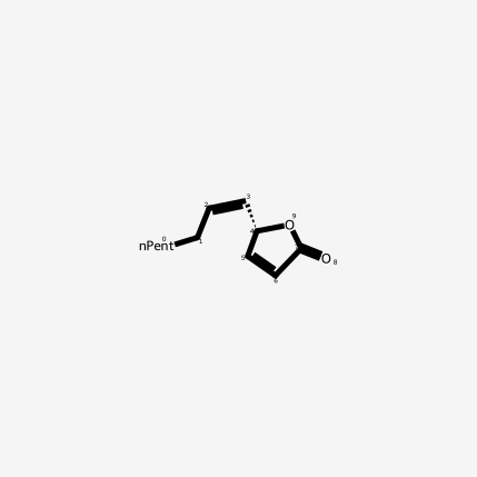 CCCCCC/C=C\[C@H]1C=CC(=O)O1